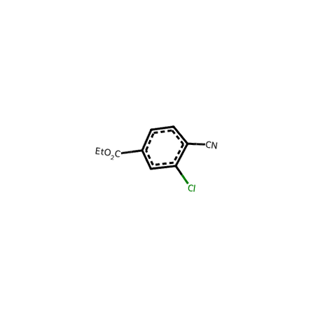 CCOC(=O)c1ccc(C#N)c(Cl)c1